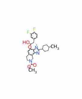 COC(=O)N1CCc2ccc3c(nc(C4CCC(C)CC4)n3C[C@H](C(=O)O)c3ccc(F)c(F)c3)c2C1